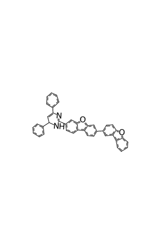 C1=C(c2ccccc2)N=C(c2ccc3c(c2)oc2cc(-c4ccc5oc6ccccc6c5c4)ccc23)NC1c1ccccc1